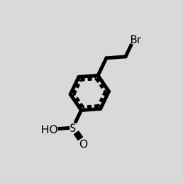 O=S(O)c1ccc(CCBr)cc1